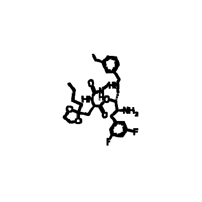 CCCCC1(C[C@@H](NC(=O)NC)C(=O)O[C@H](CNCc2cccc(CC)c2)[C@@H](N)Cc2cc(F)cc(F)c2)OCCO1